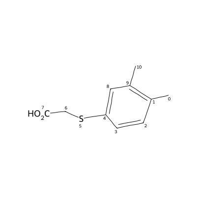 Cc1ccc(SCC(=O)O)cc1C